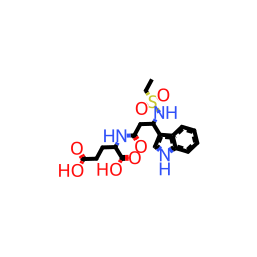 CCS(=O)(=O)NC(CC(=O)NC(CCC(=O)O)C(=O)O)c1c[nH]c2ccccc12